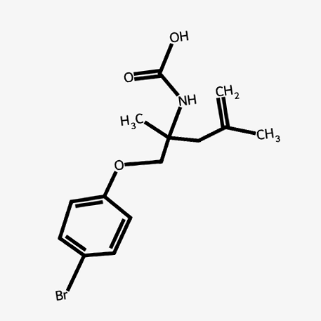 C=C(C)CC(C)(COc1ccc(Br)cc1)NC(=O)O